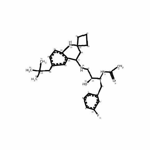 CC(=O)N[C@@H](Cc1cccc(F)c1)[C@@H](O)CNC1CC2(CCC2)Nc2ccc(CC(C)(C)C)cc21